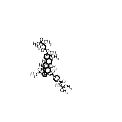 C=C(C)[C@@H]1CC[C@]2(CC(=O)N3CCN(C(=O)NC(C)C)CC3)CC[C@]3(C)[C@H](CC[C@@H]4[C@@]5(C)CC[C@H](OC(=O)CC(C)(C)C(=O)O)C(C)(C)C5CC[C@]43C)[C@@H]12